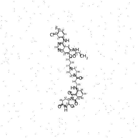 C=CC(=O)Nc1cc2c(Nc3ccc(F)c(Cl)c3)ncnc2cc1OCCCN1CCN(C(=O)CCNc2cccc3c2C(=O)N(C2CCC(=O)NC2=O)C3=O)CC1